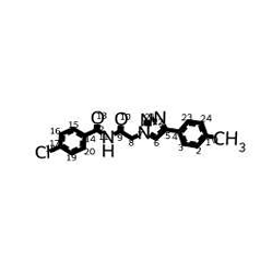 Cc1ccc(-c2cn(CC(=O)NC(=O)c3ccc(Cl)cc3)nn2)cc1